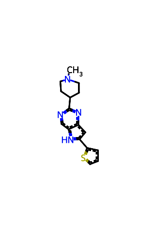 CN1CCC(c2ncc3[nH]c(-c4cccs4)cc3n2)CC1